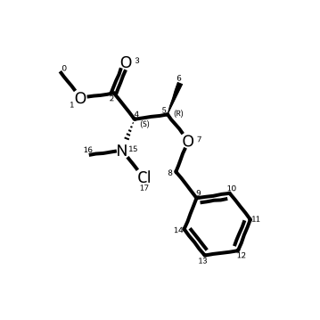 COC(=O)[C@H]([C@@H](C)OCc1ccccc1)N(C)Cl